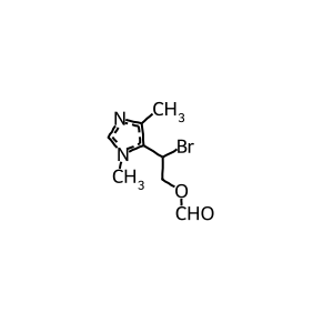 Cc1ncn(C)c1C(Br)COC=O